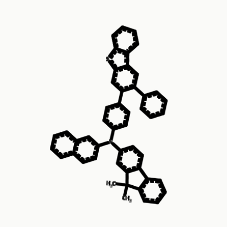 CC1(C)c2ccccc2-c2ccc(N(c3ccc(-c4cc5sc6ccccc6c5cc4-c4ccccc4)cc3)c3ccc4ccccc4c3)cc21